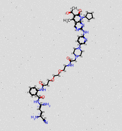 CC(=O)c1c(C)c2cnc(Nc3ccc(N4CCN(CC(=O)NCCOCCOCCC(=O)Nc5ccccc5C(=O)N/C(N)=C/C=C(\N)C#N)CC4)cn3)nc2n(C2CCCC2)c1=O